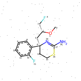 CO[C@@H](CF)C[C@@]1(c2ccccc2F)CCSC(N)=N1